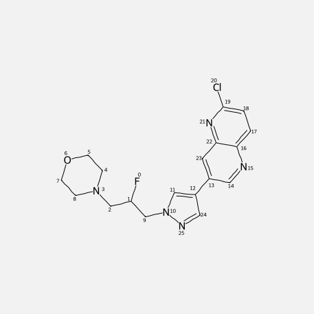 FC(CN1CCOCC1)Cn1cc(-c2cnc3ccc(Cl)nc3c2)cn1